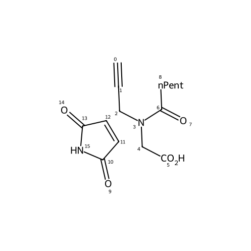 C#CCN(CC(=O)O)C(=O)CCCCC.O=C1C=CC(=O)N1